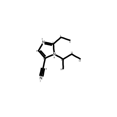 CCc1ncc(C#N)n1C(C)CC